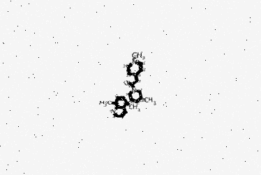 CC1=C2N=CC=CC2C(C)([C@H]2C[C@@H](C)CN(C(=O)CC3CCN(C)CC3)C2)C=C1